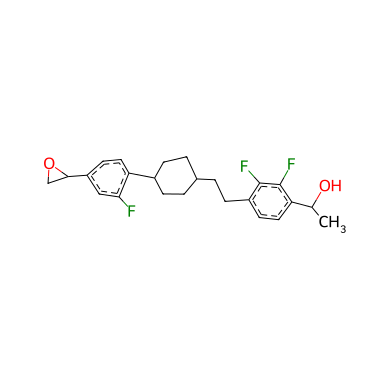 CC(O)c1ccc(CCC2CCC(c3ccc(C4CO4)cc3F)CC2)c(F)c1F